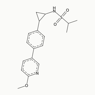 COc1ccc(-c2ccc(C3CC3NS(=O)(=O)C(C)C)cc2)cn1